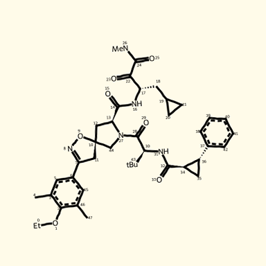 CCOc1c(C)cc(C2=NO[C@]3(C2)C[C@@H](C(=O)N[C@@H](CC2CC2)C(=O)C(=O)NC)N(C(=O)[C@@H](NC(=O)[C@@H]2C[C@H]2c2ccccc2)C(C)(C)C)C3)cc1C